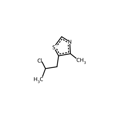 Cc1ncsc1CC(C)Cl